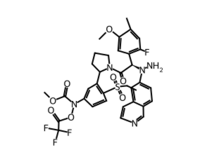 CCS(=O)(=O)c1ccc(N(OC(=O)C(F)(F)F)C(=O)OC)cc1C1CCCN1C(=O)[C@@H](c1cc(OC)c(C)cc1F)N(N)c1ccc2cnccc2c1